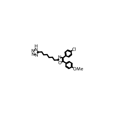 COc1ccc(-c2oc(CCCCCCc3nnn[nH]3)nc2-c2ccc(Cl)cc2)cc1